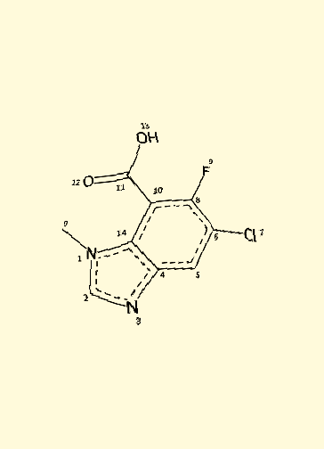 Cn1cnc2cc(Cl)c(F)c(C(=O)O)c21